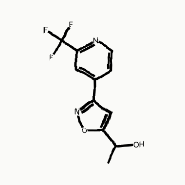 CC(O)c1cc(-c2ccnc(C(F)(F)F)c2)no1